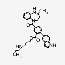 CCCNCCCOC(=O)c1cc(C(=O)N2CC[C@H](C)Nc3ccccc32)ccc1-c1ccc2[nH]ccc2c1